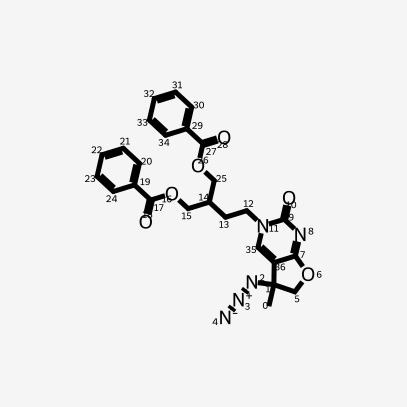 CC1(N=[N+]=[N-])COc2nc(=O)n(CCC(COC(=O)c3ccccc3)COC(=O)c3ccccc3)cc21